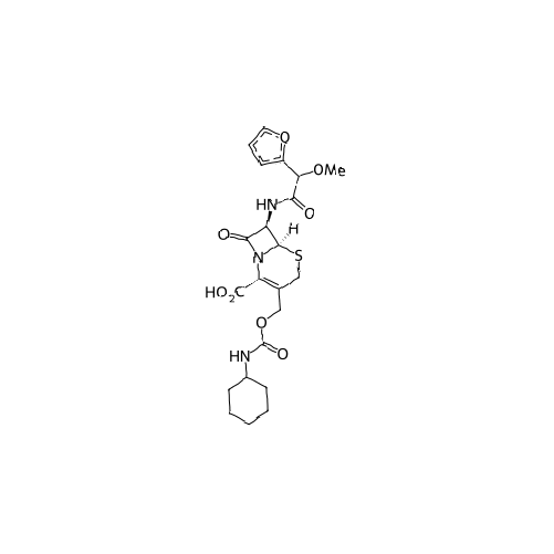 COC(C(=O)N[C@@H]1C(=O)N2C(C(=O)O)=C(COC(=O)NC3CCCCC3)CS[C@H]12)c1ccco1